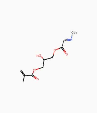 C=C(C)C(=O)OCC(O)COC(=O)/C=N/OC